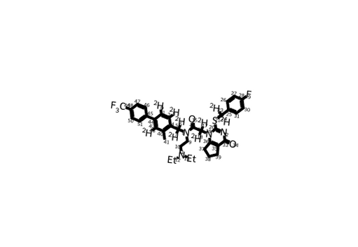 [2H]c1c([2H])c(C([2H])([2H])N(CCN(CC)CC)C(=O)C([2H])([2H])n2c(SC([2H])([2H])c3ccc(F)cc3)nc(=O)c3c2CCC3)c(C)c([2H])c1-c1ccc(C(F)(F)F)cc1